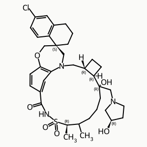 CC1CCC[C@](O)(CN2CC[C@@H](O)C2)[C@@H]2CC[C@H]2CN2C[C@@]3(CCCc4cc(Cl)ccc43)COc3ccc(cc32)C(=O)NS(=O)(=O)[C@@H]1C